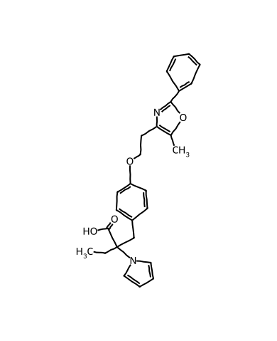 CCC(Cc1ccc(OCCc2nc(-c3ccccc3)oc2C)cc1)(C(=O)O)n1cccc1